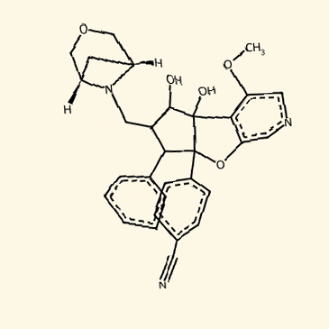 COc1cncc2c1C1(O)C(O)C(CN3[C@@H]4COC[C@H]3C4)C(c3ccccc3)C1(c1ccc(C#N)cc1)O2